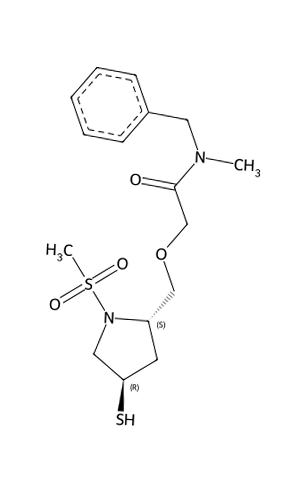 CN(Cc1ccccc1)C(=O)COC[C@@H]1C[C@@H](S)CN1S(C)(=O)=O